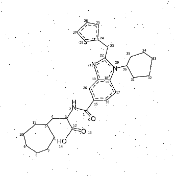 O=C(NC(CC1CCCCCC1)C(=O)O)c1ccc2c(c1)nc(Cc1cccs1)n2C1CCCCC1